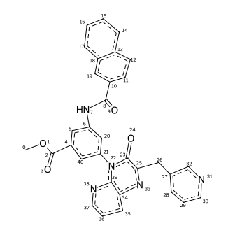 COC(=O)c1cc(NC(=O)c2ccc3ccccc3c2)cc(-n2c(=O)c(Cc3cccnc3)nc3cccnc32)c1